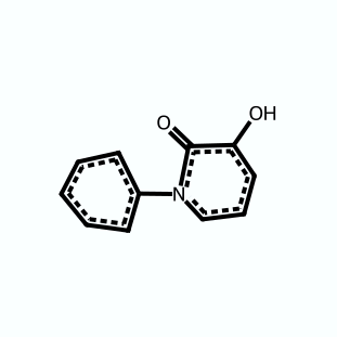 O=c1c(O)cccn1-c1ccccc1